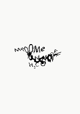 COc1cc(-c2cc(C)c3c(n2)CN(c2ccnc(OCC(F)F)c2)C3=O)cnc1OC